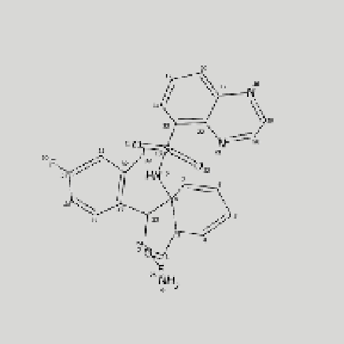 NC(=O)C1C=CC=CC1(NS(=O)(=O)c1cccc2nccnc12)C(CF)c1ccc(F)cc1F